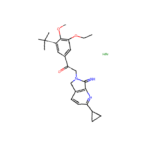 Br.CCOc1cc(C(=O)CN2Cc3ccc(C4CC4)nc3C2=N)cc(C(C)(C)C)c1OC